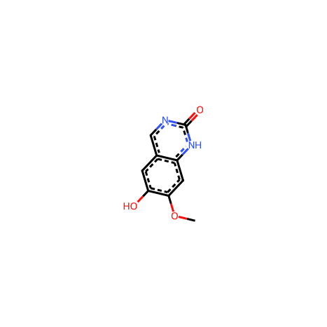 COc1cc2[nH]c(=O)ncc2cc1O